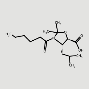 CCCCCC(=O)N1[C@@H](CC(C)C)[C@H](C(=O)O)OC1(C)C